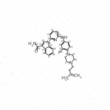 CN(C)CCN1CCN(c2ccc(Nc3nccc(-n4cc(C(N)=O)c5ccccc54)n3)cc2F)CC1